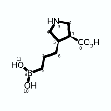 O=C(O)[C@@H]1CNC[C@@H]1CCCB(O)O